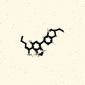 CCC/C=C(/N)c1c(F)cc(-c2ccc3c(c2)N=CC(CC)C3)c2nc[nH]c12